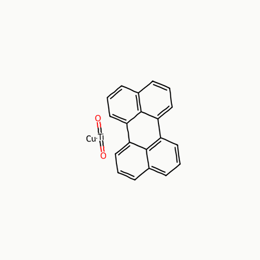 [Cu].[O]=[Ti]=[O].c1cc2cccc3c4cccc5cccc(c(c1)c23)c54